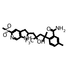 Cc1ccc(C(C)(C)CC(O)(CC2Cc3cc(S(C)(=O)=O)ncc3N2)C(F)(F)F)c(C(N)=O)c1